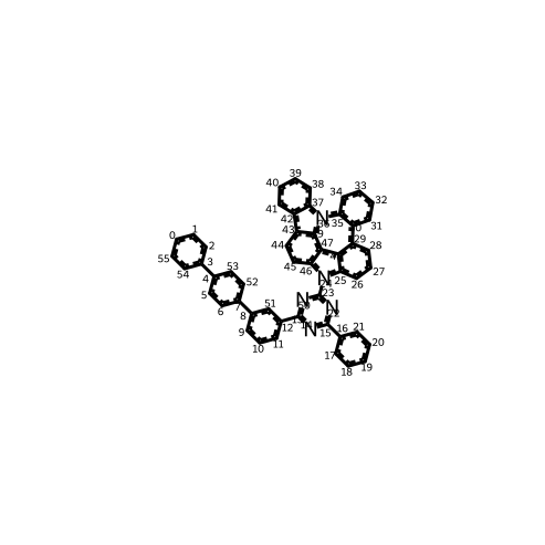 c1ccc(-c2ccc(-c3cccc(-c4nc(-c5ccccc5)nc(-n5c6cccc7c8ccccc8n8c9ccccc9c9ccc5c(c76)c98)n4)c3)cc2)cc1